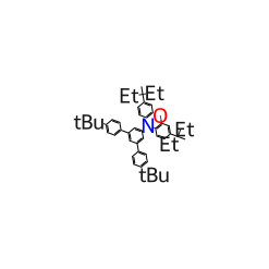 CCC(C)(CC)c1ccc2c(c1)Oc1cc(C(C)(CC)CC)ccc1N2c1cc(-c2ccc(C(C)(C)C)cc2)cc(-c2ccc(C(C)(C)C)cc2)c1